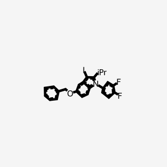 CC(C)c1c(I)c2cc(OCc3ccccc3)ccc2n1-c1ccc(F)c(F)c1